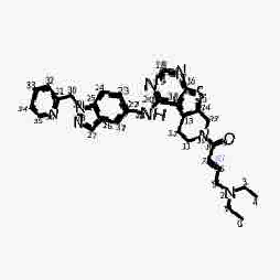 CCN(CC)C/C=C/C(=O)N1CCc2c(sc3ncnc(Nc4ccc5c(cnn5Cc5ccccn5)c4)c23)C1